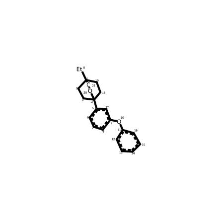 CCC12CCC(c3cccc(Oc4ccccc4)c3)(CC1)OC2